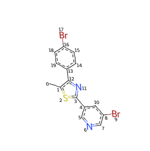 Cc1sc(-c2cncc(Br)c2)nc1-c1ccc(Br)cc1